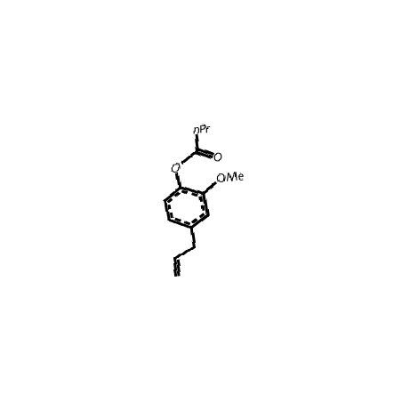 C=CCc1ccc(OC(=O)CCC)c(OC)c1